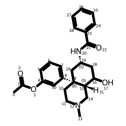 CC(=O)Oc1cccc([C@@]23CCN(C)C[C@H]2C(O)C[C@@H](NC(=O)c2ccccc2)C3)c1